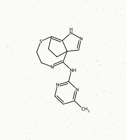 Cc1ccnc(NC2=NCCSC3=C4NN=CC24CC3)n1